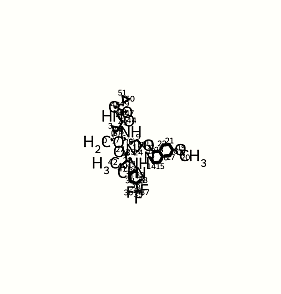 C=C[C@@H]1C[C@]1(NC(=O)[C@@H]1C[C@@H](Oc2nccc3cc(OC)ccc23)CN1C(=O)C(Nc1ccc(C(F)(F)F)cn1)C(C)C)C(=O)NS(=O)(=O)C1CC1